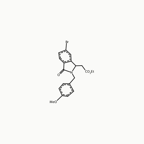 CCOC(=O)CC1c2cc(Br)ccc2C(=O)N1Cc1ccc(OC)cc1